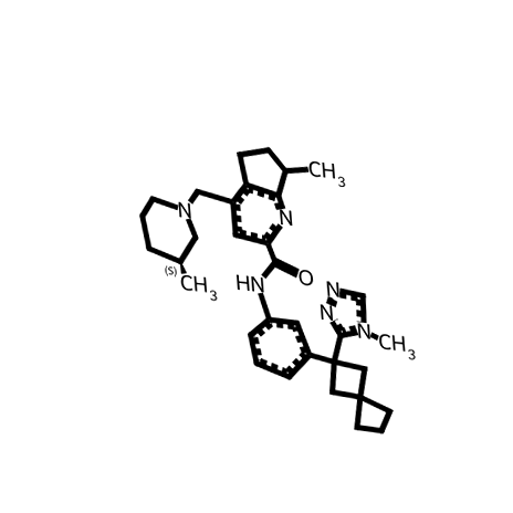 CC1CCc2c(CN3CCC[C@H](C)C3)cc(C(=O)Nc3cccc(C4(c5nncn5C)CC5(CCC5)C4)c3)nc21